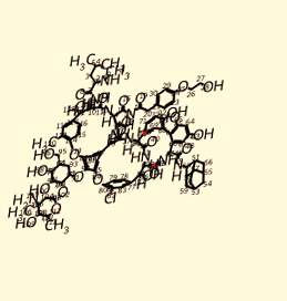 CN[C@H](CC(C)C)C(=O)N[C@H]1C(=O)NC(C(=O)NC(=O)Cc2ccc(OCCO)cc2)C(=O)N[C@H]2C(=O)N[C@H]3C(=O)N[C@H](C(=O)N[C@H](C(=O)NC4C5CC6CC(C5)CC4C6)c4cc(O)cc(O)c4-c4cc3ccc4O)[C@H](O)c3ccc(c(Cl)c3)Oc3cc2cc(c3O[C@@H]2C[C@H](CO)[C@@H](O)[C@H](O)[C@H]2O[C@H]2C[C@](C)(N)[C@H](O)[C@H](C)O2)Oc2ccc(cc2C)[C@H]1O